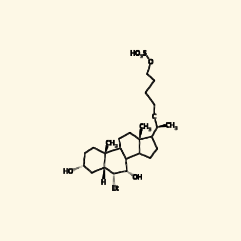 CC[C@H]1[C@@H](O)C2C3CCC([C@H](C)CCCCCOS(=O)(=O)O)[C@@]3(C)CCC2[C@@]2(C)CC[C@@H](O)C[C@@H]12